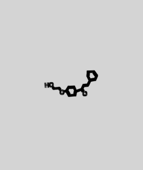 O=C(/C=C/c1ccccc1)c1ccc(OCCO)cc1